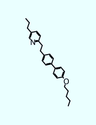 CCCCCOc1ccc(-c2ccc(CCc3ccc(CCC)cn3)cc2)cc1